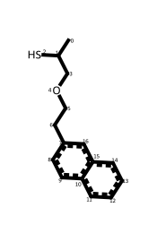 CC(S)COCCc1ccc2ccccc2c1